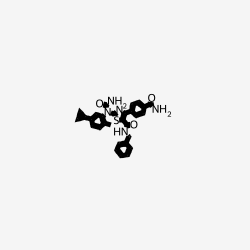 Cc1ccc(C2CC2)cc1N(C(N)=O)c1nc(-c2ccc(C(N)=O)cc2)c(C(=O)NCc2ccccc2)s1